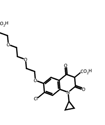 O=C(O)CCOCCOCCOc1cc2c(cc1Cl)N(C1CC1)C(=O)C(C(=O)O)C2=O